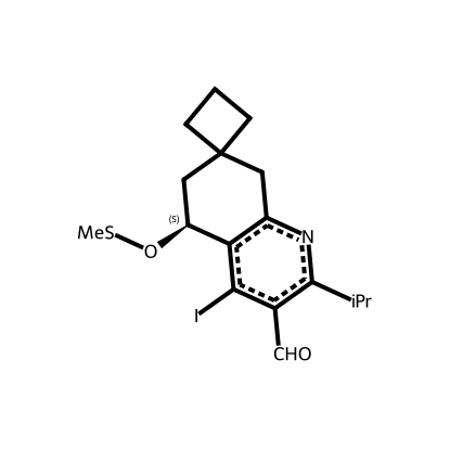 CSO[C@H]1CC2(CCC2)Cc2nc(C(C)C)c(C=O)c(I)c21